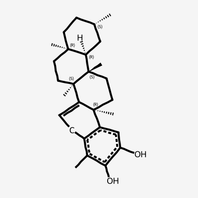 Cc1c(O)c(O)cc2c1CC=C1[C@@]2(C)CC[C@@]2(C)[C@@H]3C[C@@H](C)CC[C@]3(C)CC[C@]12C